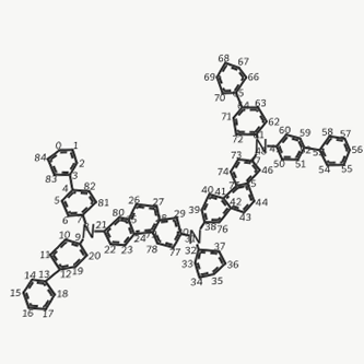 c1ccc(-c2ccc(N(c3ccc(-c4ccccc4)cc3)c3ccc4c(ccc5cc(N(c6ccccc6)c6ccc7c(ccc8cc(N(c9ccc(-c%10ccccc%10)cc9)c9ccc(-c%10ccccc%10)cc9)ccc87)c6)ccc54)c3)cc2)cc1